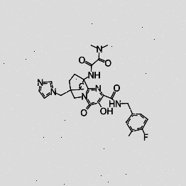 Cc1cc(CNC(=O)c2nc3n(c(=O)c2O)CC2(Cn4ccnc4)CCC3(NC(=O)C(=O)N(C)C)CC2)ccc1F